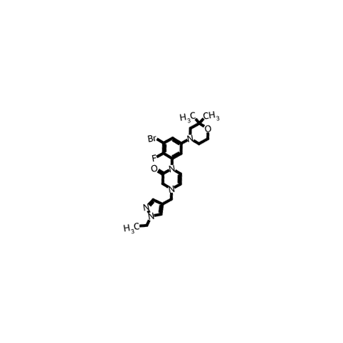 CCn1cc(CN2C=CN(c3cc(N4CCOC(C)(C)C4)cc(Br)c3F)C(=O)C2)cn1